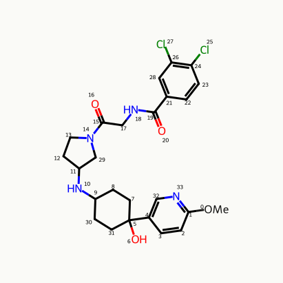 COc1ccc(C2(O)CCC(NC3CCN(C(=O)CNC(=O)c4ccc(Cl)c(Cl)c4)C3)CC2)cn1